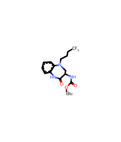 CC(C)(C)OC(=O)NC1CN(CCCC(F)(F)F)c2ccccc2NC1=O